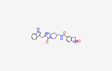 N[C@@H](Cc1c[nH]c2ccccc12)C(=O)N1CCC(CNC(=O)c2ccc3c(c2)CC(=O)N3)CC1